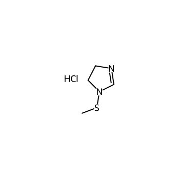 CSN1C=NCC1.Cl